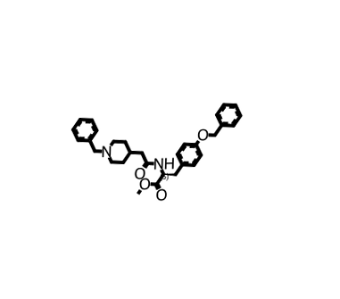 COC(=O)[C@H](Cc1ccc(OCc2ccccc2)cc1)NC(=O)CC1CCN(Cc2ccccc2)CC1